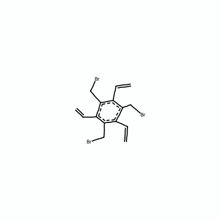 C=Cc1c(CBr)c(C=C)c(CBr)c(C=C)c1CBr